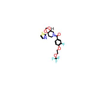 O=C(c1ccc(OCCOC(F)(F)F)c(F)c1)N1CC[C@@]2(c3nccs3)OCO[C@@H]2C1